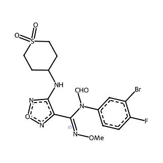 CO/N=C(/c1nonc1NC1CCS(=O)(=O)CC1)N(C=O)c1ccc(F)c(Br)c1